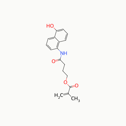 C=C(C)C(=O)OCCCC(=O)Nc1cccc2c(O)cccc12